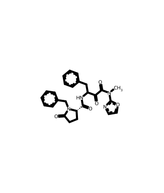 CN(C(=O)C(=O)C(Cc1ccccc1)NC(=O)[C@@H]1CCC(=O)N1Cc1ccccc1)c1ncco1